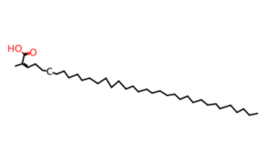 CCCCCCCCCCCCCCCCCCCCCCCCCCCCCCCCCC=C(C)C(=O)O